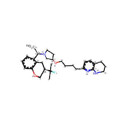 CC(C)(F)[C@H]1COc2cccc([C@@H](C(=O)O)N3CC[C@@H](OCCCCc4ccc5c(n4)NCCC5)C3)c2C1